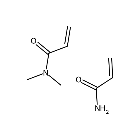 C=CC(=O)N(C)C.C=CC(N)=O